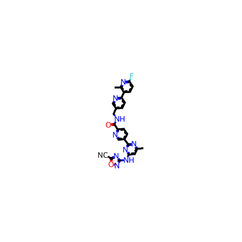 Cc1cc(Nc2noc(C#N)n2)nc(-c2ccc(C(=O)NCc3ccc(-c4ccc(F)nc4C)nc3)nc2)n1